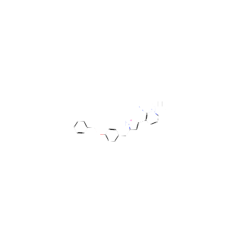 [CH2][n+]1cccc(-c2cc(Cc3ccc(OCc4ccccc4)cc3)no2)c1N